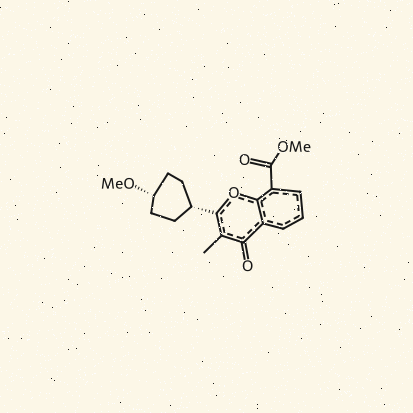 COC(=O)c1cccc2c(=O)c(C)c([C@H]3CC[C@@H](OC)CC3)oc12